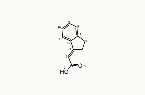 O=C(O)/C=C1\CCc2ccccc21